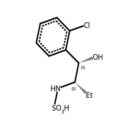 CC[C@H](NS(=O)(=O)O)[C@@H](O)c1ccccc1Cl